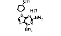 Cl.Nc1nc(N)c2ncn([C@H]3CC[C@@H](O)C3)c2n1